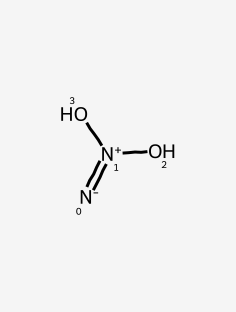 [N-]=[N+](O)O